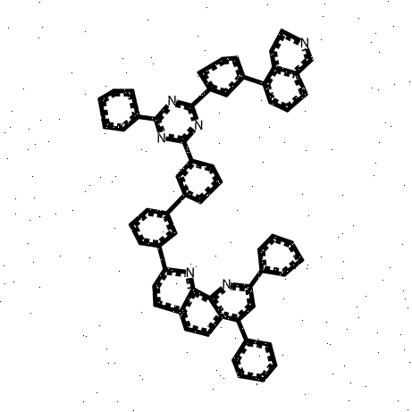 c1ccc(-c2cc(-c3ccccc3)c3ccc4ccc(-c5cccc(-c6cccc(-c7nc(-c8ccccc8)nc(-c8cccc(-c9cccc%10cnccc9%10)c8)n7)c6)c5)nc4c3n2)cc1